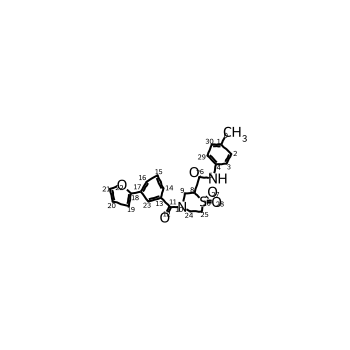 Cc1ccc(NC(=O)C2CN(C(=O)c3cccc(-c4ccco4)c3)CCS2(=O)=O)cc1